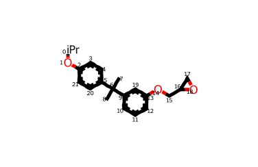 CC(C)Oc1ccc(C(C)(C)c2cccc(OCC3CO3)c2)cc1